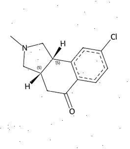 CN1C[C@H]2CC(=O)c3ccc(Cl)cc3[C@H]2C1